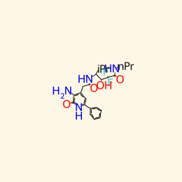 CCCNC(=O)C(F)(F)C(O)C(NC(=O)Cc1cc(-c2ccccc2)[nH]c(=O)c1N)C(C)C